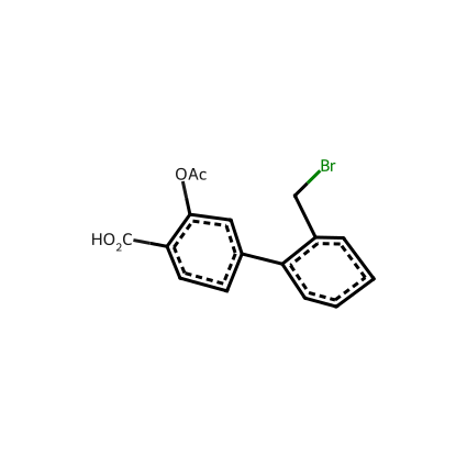 CC(=O)Oc1cc(-c2ccccc2CBr)ccc1C(=O)O